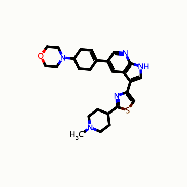 CN1CCC(c2nc(-c3c[nH]c4ncc(C5=CCC(N6CCOCC6)CC5)cc34)cs2)CC1